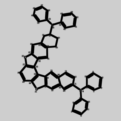 c1ccc(N(c2ccccc2)c2ccc3cc4c(cc3c2)oc2ccc3oc5cc6c(cc5c3c24)CCC(N(c2ccccc2)c2ccccc2)C6)cc1